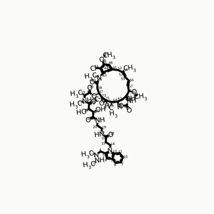 CNN(C)Cc1cc2ccccc2n1CCC(=O)NCCNC(=O)[C@H](O)[C@H](O)C(=O)N(C)[C@@H](C)C(=O)O[C@H]1CC(=O)N(C)c2cc(cc(OC)c2Cl)C/C(C)=C/C=C/[C@@H](OC)[C@@]2(O)C[C@H](OC(=O)N2)[C@@H](C)[C@@H]2O[C@@]12C